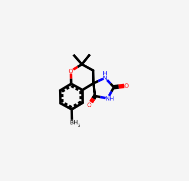 Bc1ccc2c(c1)C1(CC(C)(C)O2)NC(=O)NC1=O